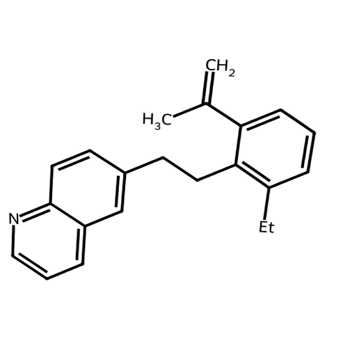 C=C(C)c1cccc(CC)c1CCc1ccc2ncccc2c1